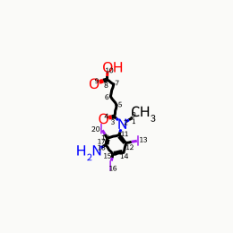 CCN(C(=O)CCCC(=O)O)c1c(I)cc(I)c(N)c1I